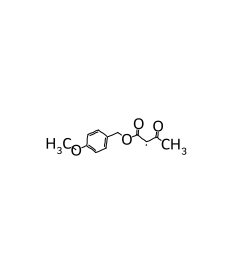 COc1ccc(COC(=O)[CH]C(C)=O)cc1